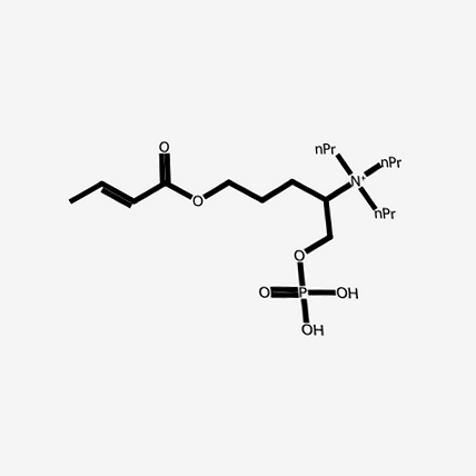 CC=CC(=O)OCCCC(COP(=O)(O)O)[N+](CCC)(CCC)CCC